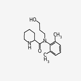 Cc1cccc(C)c1N(CCCO)C(=O)C1CCCCN1